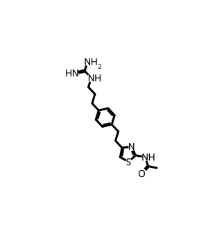 CC(=O)Nc1nc(CCc2ccc(CCCNC(=N)N)cc2)cs1